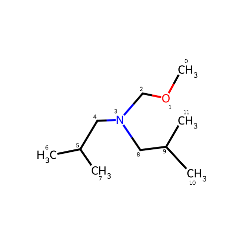 COCN(CC(C)C)CC(C)C